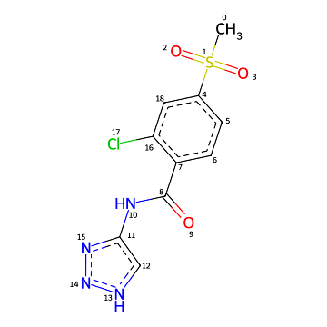 CS(=O)(=O)c1ccc(C(=O)Nc2c[nH]nn2)c(Cl)c1